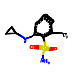 NS(=O)(=O)c1c(NC2CC2)cccc1C(F)(F)F